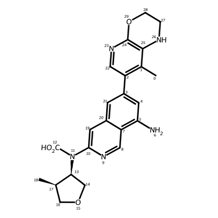 Cc1c(-c2cc(N)c3cnc(N(C(=O)O)[C@H]4COC[C@H]4C)cc3c2)cnc2c1NCCO2